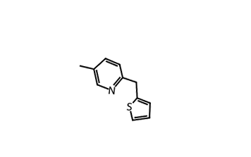 Cc1ccc(Cc2cccs2)nc1